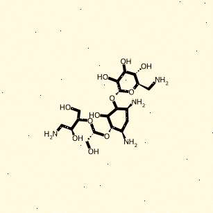 NC[C@H](O)C(CO)O[C@@H](CO)O[C@@H]1C(O)C(O[C@H]2O[C@H](CN)[C@@H](O)C(O)C2O)[C@@H](N)C[C@H]1N